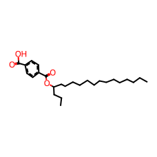 CCCCCCCCCCCCCCC(CCC)OC(=O)c1ccc(C(=O)O)cc1